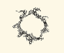 CCCC[C@H]1C(=O)N(C)[C@@H](CCCC)C(=O)N[C@@H](CC(C)C)C(=O)N[C@H](C(=O)NCC(N)=O)CSCC(=O)N[C@@H](Cc2ccc(O)cc2)C(=O)N(C)[C@@H](C)C(=O)N[C@@H](CCN)C(=O)N2CCC[C@H]2C(=O)N[C@@H](Cc2c[nH]cn2)C(=O)N[C@@H](CCC(=O)O)C(=O)N2C[C@H](O)C[C@H]2C(=O)N[C@@H](Cc2c[nH]c3ccccc23)C(=O)N[C@@H](CO)C(=O)N[C@@H](Cc2c[nH]c3ccccc23)C(=O)N1C